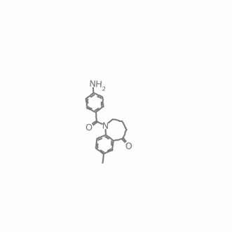 Cc1ccc2c(c1)C(=O)CCCN2C(=O)c1ccc(N)cc1